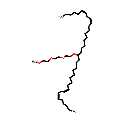 CCCCC/C=C\C/C=C\CCCCCCCCC(CCCCCCCC/C=C\C/C=C\CCCCC)OCCOCCOCCOC